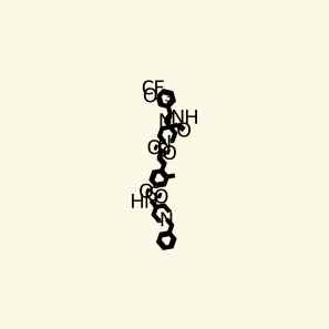 Cc1cc(S(=O)(=O)NC2CCN(Cc3ccccc3)CC2)ccc1C=CS(=O)(=O)N1CCC2(CC1)N=C(c1cccc(OC(F)(F)F)c1)NC2=O